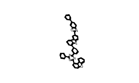 C1=CC(c2nc(-c3ccccc3)nc(-c3cccc4oc5ccccc5c34)n2)=CC(c2cccc3c2sc2ccc(-c4nc5ccc(-c6ccccc6)cc5o4)cc23)C1